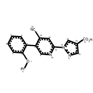 CC(C)Oc1ccccc1-c1cnc(-n2cc(C(=O)O)cn2)cc1C#N